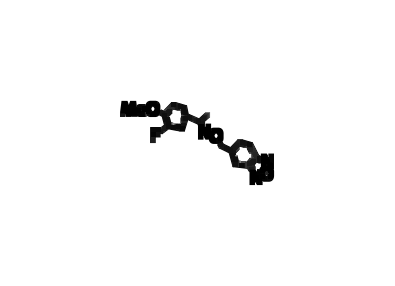 COc1ccc(/C(C)=N/OCc2ccc3nonc3c2)cc1F